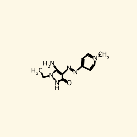 CCn1[nH]c(=O)c(/N=N/c2cc[n+](C)cc2)c1N